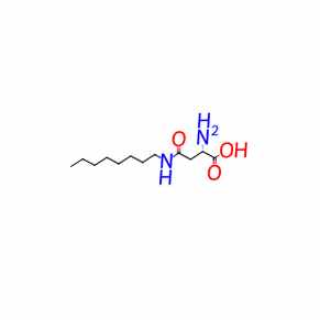 CCCCCCCCNC(=O)C[C@H](N)C(=O)O